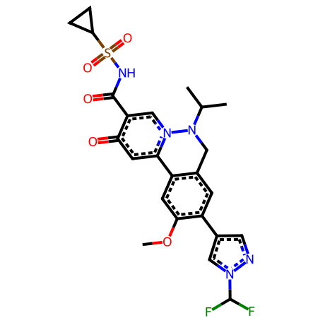 COc1cc2c(cc1-c1cnn(C(F)F)c1)CN(C(C)C)n1cc(C(=O)NS(=O)(=O)C3CC3)c(=O)cc1-2